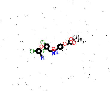 CC1(C)OCC(COc2ccc(-c3nnc(Cc4ccc(Cl)c(Oc5cc(Cl)cc(C#N)c5)c4F)o3)cc2)CO1